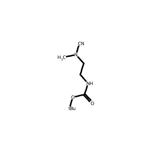 CN(C#N)CCNC(=O)OC(C)(C)C